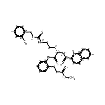 COC(=O)CCc1ccccc1NC(=O)[C@H](CCCNC(=O)OCc1ccccc1Cl)NC(=O)c1ccc2ccccc2n1